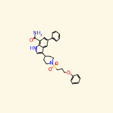 NC(=O)c1cc(-c2ccccc2)cc2c(C3CCN(S(=O)(=O)CCCOc4ccccc4)CC3)c[nH]c12